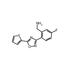 NCc1cc(F)ccc1-c1noc(-c2cccs2)n1